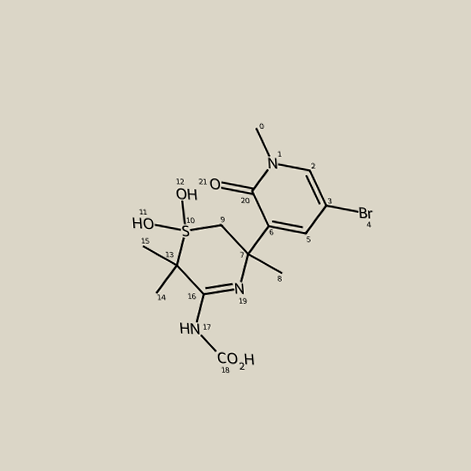 Cn1cc(Br)cc(C2(C)CS(O)(O)C(C)(C)C(NC(=O)O)=N2)c1=O